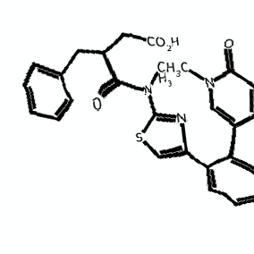 CN(C(=O)C(CC(=O)O)Cc1ccccc1)c1nc(-c2ccccc2-c2ccc(=O)n(C)c2)cs1